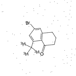 [2H]C([2H])([2H])c1cc(Br)cc2c1C(=O)CCC2